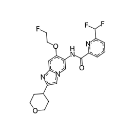 O=C(Nc1cn2cc(C3CCOCC3)nc2cc1OCCF)c1cccc(C(F)F)n1